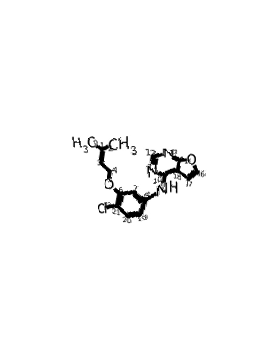 CC(C)=CCOc1cc(Nc2ncnc3occc23)ccc1Cl